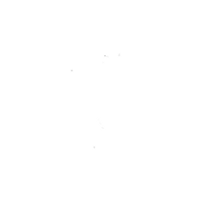 CC=CSSC[C@H](NC(C)=O)C(=O)O